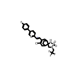 O=S1(=O)NC2(CN1CC(F)(F)F)C1CCC2CC(/C=C/c2ccc(-c3ccc(F)cc3)cn2)=C(Cl)C1